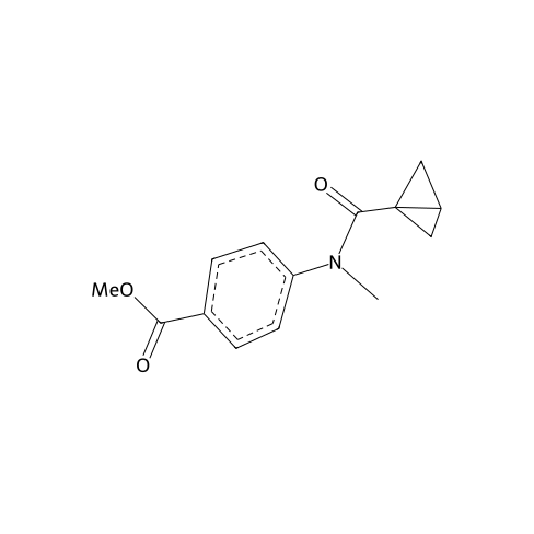 COC(=O)c1ccc(N(C)C(=O)C23CC2C3)cc1